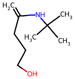 C=C(CCCO)NC(C)(C)C